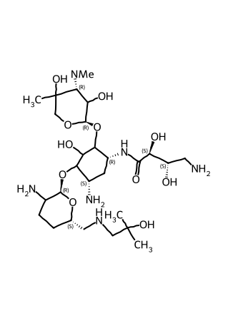 CN[C@@H]1C(O)[C@@H](OC2C(O)C(O[C@H]3O[C@H](CNCC(C)(C)O)CCC3N)[C@@H](N)C[C@H]2NC(=O)[C@@H](O)[C@@H](O)CN)OCC1(C)O